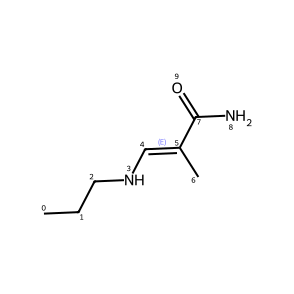 CCCN/C=C(\C)C(N)=O